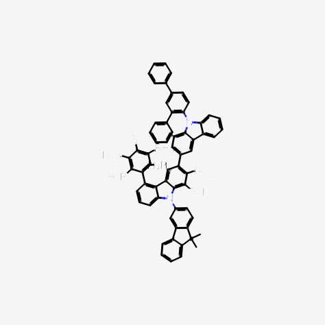 Bc1c(B)c(B)c(-c2cccc3c2c2c(B)c(-c4ccc5c(c4)c4ccccc4n5-c4ccc(-c5ccccc5)cc4-c4ccccc4)c(B)c(B)c2n3-c2ccc3c(c2)-c2ccccc2C3(C)C)c(B)c1B